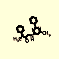 Cc1cc(NCC(=O)N(C)c2ccccc2)nc(-c2ccccc2)n1